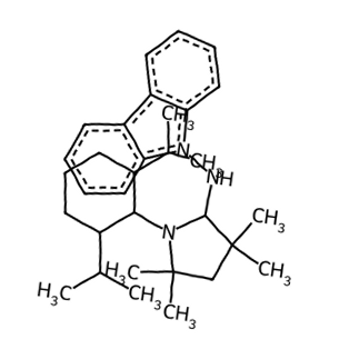 CC(C)C1CCCC(C(C)C)C1N1C(Nn2c3ccccc3c3ccccc32)C(C)(C)CC1(C)C